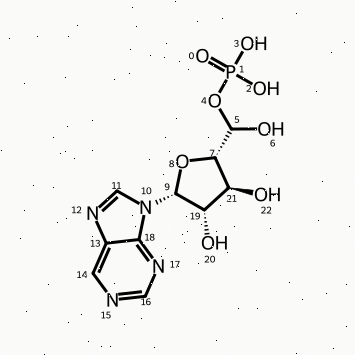 O=P(O)(O)OC(O)[C@H]1O[C@@H](n2cnc3cncnc32)[C@@H](O)[C@@H]1O